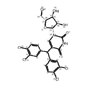 O=c1[nH]c(=S)c(C(c2ccc(Cl)c(Cl)c2)c2ccc(Cl)c(Cl)c2)cn1[C@@H]1O[C@H](CO)[C@@H](O)[C@H]1O